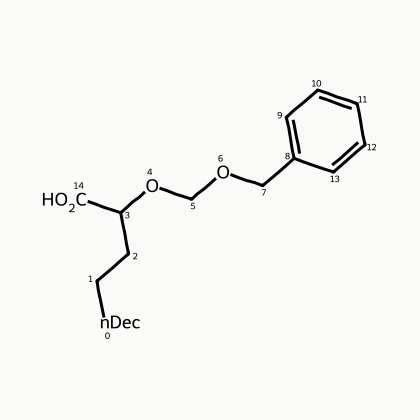 CCCCCCCCCCCCC(OCOCc1ccccc1)C(=O)O